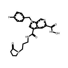 O=C(NO)c1cc2c(C(=O)NCCCN3CCCC3=O)cn(Cc3ccc(F)cc3)c2cn1